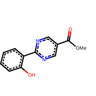 COC(=O)c1cnc(-c2ccccc2O)nc1